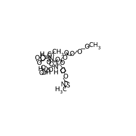 CCOCCOCCOCC(=O)OCC(=O)O[C@H](CN(CC(C)C)S(=O)(=O)c1ccc2c(c1)OCO2)[C@H](Cc1ccc(OCc2csc(C)n2)cc1)NC(=O)O[C@H]1CO[C@H]2OCC[C@H]21